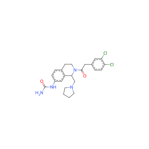 NC(=O)Nc1ccc2c(c1)C(CN1CCCC1)N(C(=O)Cc1ccc(Cl)c(Cl)c1)CC2